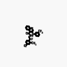 Cc1cc(Cl)ccc1[C@@H](F)CNC(=O)c1c(Oc2cccc(C(F)(F)F)c2)cnc2ccccc12